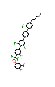 CCCCCc1ccc(-c2ccc(-c3cc(F)c(-c4ccc(C(F)(F)Oc5ccc(F)c(F)c5)c(F)c4)c(F)c3)cc2)c(F)c1